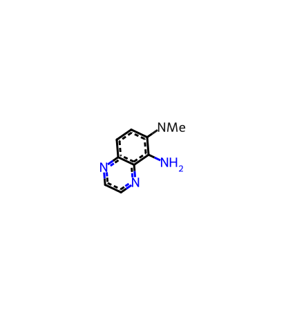 CNc1ccc2nccnc2c1N